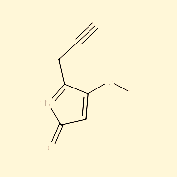 C#CCC1=NC(=O)C=C1OCC